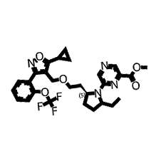 CCC1CC[C@@H](CCOCc2c(-c3ccccc3OC(F)(F)F)noc2C2CC2)N1c1cncc(C(=O)OC)n1